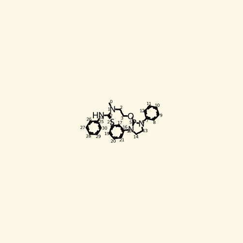 CN(CCOP1N(c2ccccc2)CCN1c1ccccc1)C(=S)Nc1ccccc1